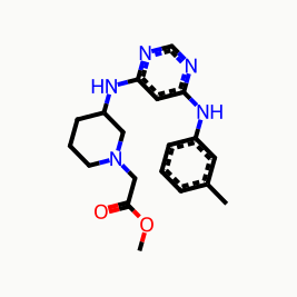 COC(=O)CN1CCCC(Nc2cc(Nc3cccc(C)c3)ncn2)C1